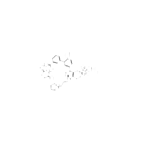 CS(=O)(=O)N1CCc2c(c(-c3ccc(Cl)c(-c4cccc(C(=O)ON5C(=O)CCC5=O)c4)c3)nn2CCCN2CCCC2)C1